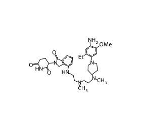 CCc1cc(N)c(OC)cc1N1CCC(N(C)CCN(C)CCNc2cccc3c2CN(C2CCC(=O)NC2=O)C3=O)CC1